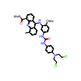 CNC(=O)c1cccc2c(Nc3cc(NC(=O)Nc4ccc(N(CCCl)CCCl)cc4)ccc3OC)c3cccc(C)c3nc12